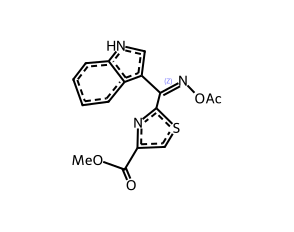 COC(=O)c1csc(/C(=N\OC(C)=O)c2c[nH]c3ccccc23)n1